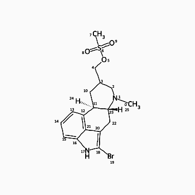 CN1CC(COS(C)(=O)=O)C[C@@H]2c3cccc4[nH]c(Br)c(c34)C[C@H]21